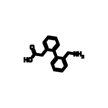 NCc1ccccc1-c1ccccc1CC(=O)O